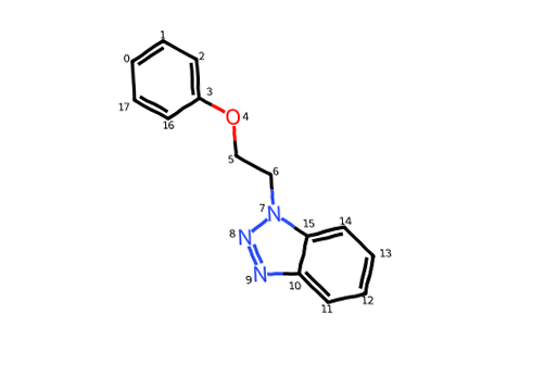 c1ccc(OCCn2nnc3ccccc32)cc1